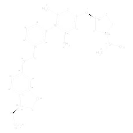 Cc1cc(O[C@H]2CCN([S+](C)[O-])C2)cc(C)c1-c1cccc(COc2ccc3c(c2)OC[C@H]3CC(=O)O)c1